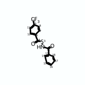 O=C(NSC(=O)c1ccc(C(F)(F)F)cc1)c1ccccc1